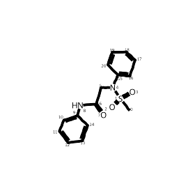 CS(=O)(=O)N(CC(=O)Nc1ccccc1)c1ccccc1